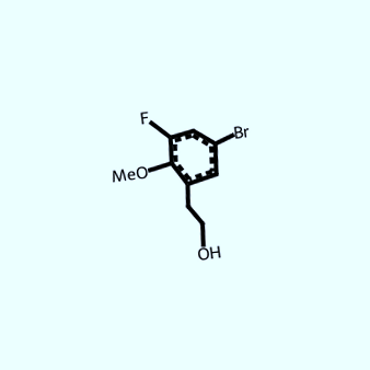 COc1c(F)cc(Br)cc1CCO